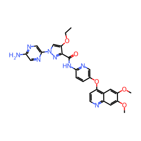 CCOc1cn(-c2cnc(N)cn2)nc1C(=O)Nc1ccc(Oc2ccnc3cc(OC)c(OC)cc23)cn1